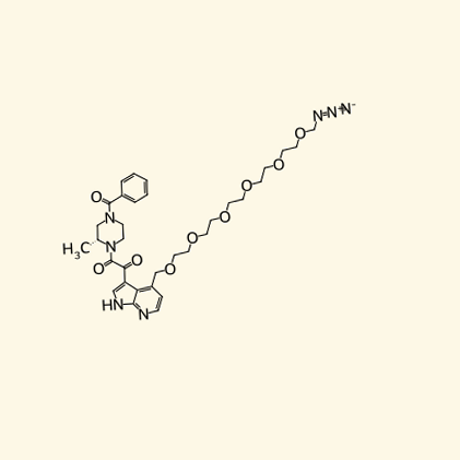 C[C@@H]1CN(C(=O)c2ccccc2)CCN1C(=O)C(=O)c1c[nH]c2nccc(COCCOCCOCCOCCOCCOCN=[N+]=[N-])c12